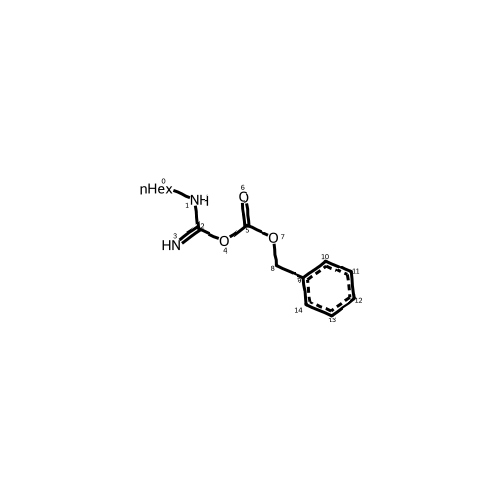 CCCCCCNC(=N)OC(=O)OCc1ccccc1